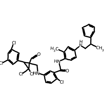 Cc1cc(NCC(C)c2ccccc2)ccc1NC(=O)c1cc(NCC2(C=O)C(c3cc(Cl)cc(Cl)c3)C2(Cl)Cl)ccc1Cl